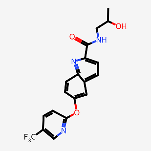 CC(O)CNC(=O)c1ccc2cc(Oc3ccc(C(F)(F)F)cn3)ccc2n1